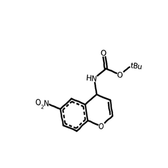 CC(C)(C)OC(=O)NC1C=COc2ccc([N+](=O)[O-])cc21